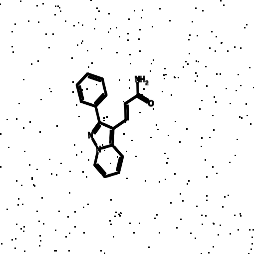 NC(=O)C=Cc1c(-c2ccccc2)nn2ccccc12